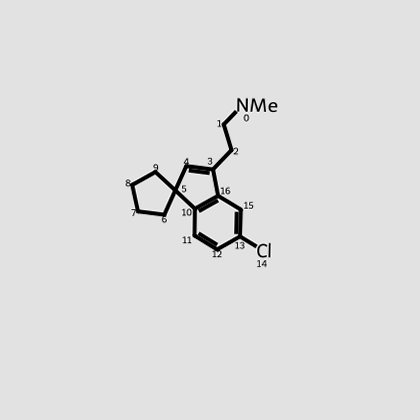 CNCCC1=CC2(CCCC2)c2ccc(Cl)cc21